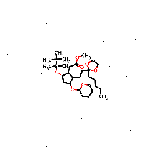 CCCCCC1(CCC2C(OC3CCCCO3)C[C@@H](O[Si](C)(C)C(C)(C)C)[C@H]2CC(=O)OC)OCCO1